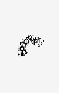 CC(C)(C)[C@H](N)C(=O)N1CCC(Oc2ccc3c(=O)[nH]ccc3c2)CC1